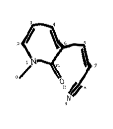 Cn1cccc(/C=C\C#N)c1=O